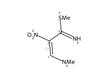 CN/C=C(\C(=N)SC)[N+](=O)[O-]